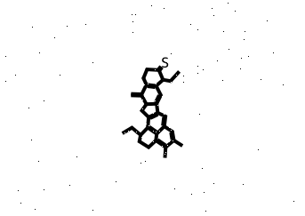 C=C1C2=C(C=C3c4cc5cc(C)c(C)c6c5c(c4CC13)C(CC)CC6)C(CC)C(=S)CC2